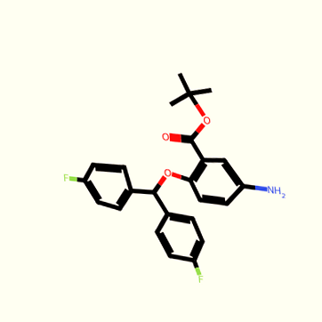 CC(C)(C)OC(=O)c1cc(N)ccc1OC(c1ccc(F)cc1)c1ccc(F)cc1